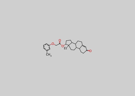 CCC12CCC3C4CCC(=O)C=C4CCC3C1CCC2OC(=O)COc1cccc(C)c1